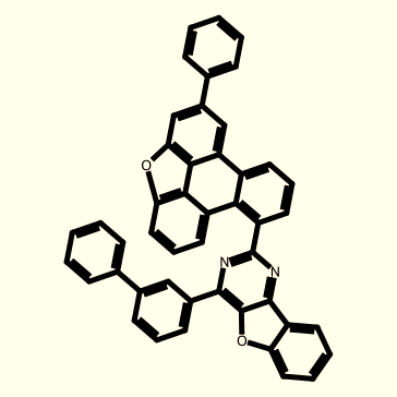 c1ccc(-c2cccc(-c3nc(-c4cccc5c6cc(-c7ccccc7)cc7oc8cccc(c45)c8c76)nc4c3oc3ccccc34)c2)cc1